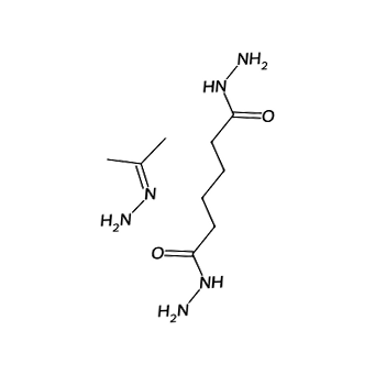 CC(C)=NN.NNC(=O)CCCCC(=O)NN